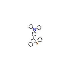 c1ccc(N(c2ccccc2)c2ccc(-c3cc4ccccc4c4sc5ccccc5c34)cc2)cc1